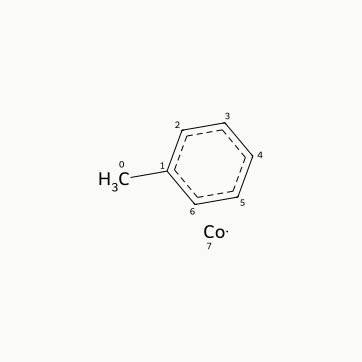 Cc1ccccc1.[Co]